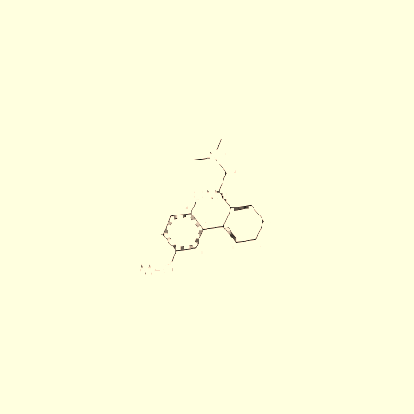 COc1ccc(OC)c(C2=C[CH]CC=C2CCN(C)C)c1